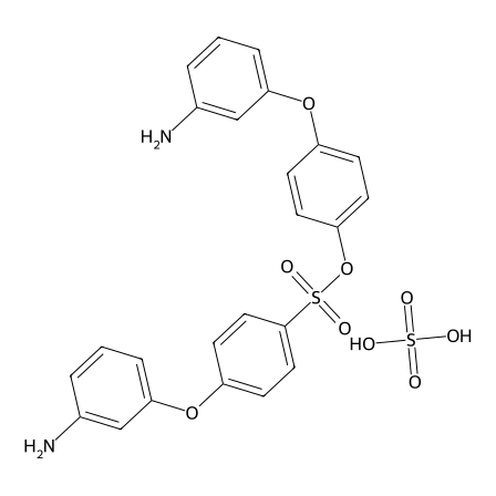 Nc1cccc(Oc2ccc(OS(=O)(=O)c3ccc(Oc4cccc(N)c4)cc3)cc2)c1.O=S(=O)(O)O